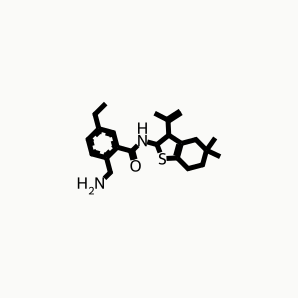 C=C(C)C1C2=C(CCC(C)(C)C2)SC1NC(=O)c1cc(CC)ccc1CN